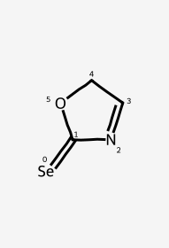 [Se]=C1N=CCO1